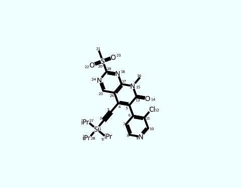 CC(C)[Si](C#Cc1c(-c2ccncc2Cl)c(=O)n(C)c2nc(S(C)(=O)=O)ncc12)(C(C)C)C(C)C